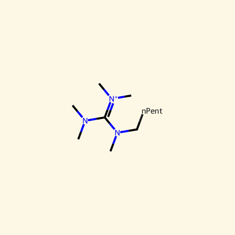 CCCCCCN(C)C(N(C)C)=[N+](C)C